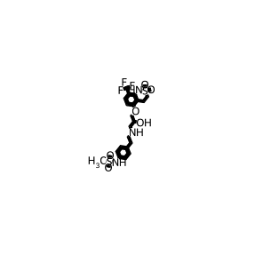 CS(=O)(=O)Nc1ccc(CCNCC(O)COc2ccc(C(F)(F)F)c3c2CCS(=O)(=O)N3)cc1